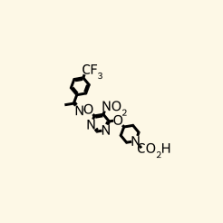 C/C(=N/Oc1ncnc(OC2CCN(C(=O)O)CC2)c1[N+](=O)[O-])c1ccc(C(F)(F)F)cc1